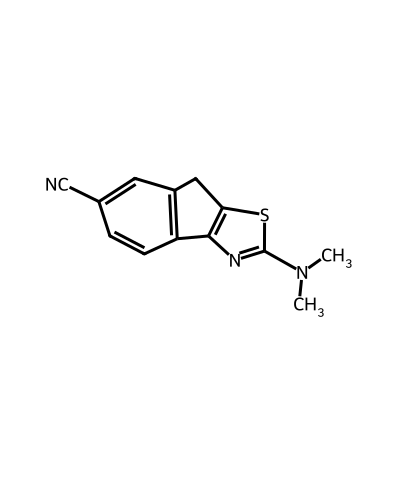 CN(C)c1nc2c(s1)Cc1cc(C#N)ccc1-2